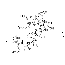 C[C@H](NC(=O)[C@@H]1CCCN1C(=O)[C@H](C)NC(=O)[C@H](CCC(=O)O)NC(=O)[C@@H]1CCCN1)C(=O)N[C@H](C(=O)N[C@@H](CCC(=O)O)C(=O)N[C@@H](CCC(=O)O)C(=O)NCC(=O)O)[C@@H](C)O